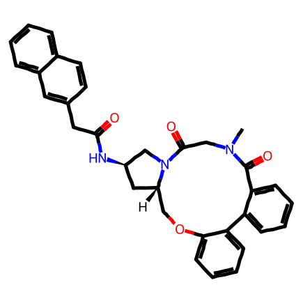 CN1CC(=O)N2C[C@H](NC(=O)Cc3ccc4ccccc4c3)C[C@H]2COc2ccccc2-c2ccccc2C1=O